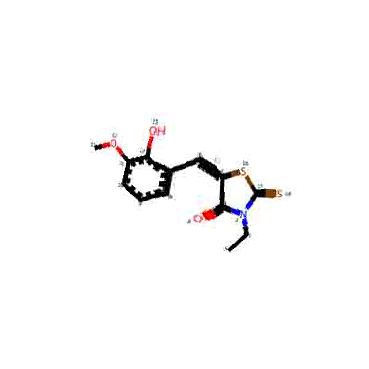 CCN1C(=O)/C(=C\c2cccc(OC)c2O)SC1=S